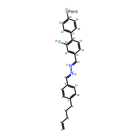 C=CCCCc1ccc(C=NN=Cc2ccc(-c3ccc(CCCCC)cc3)c(F)c2)cc1